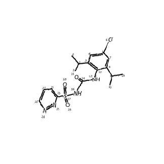 CC(C)c1cc(Cl)cc(C(C)C)c1NC(=O)NS(=O)(=O)c1cccnn1